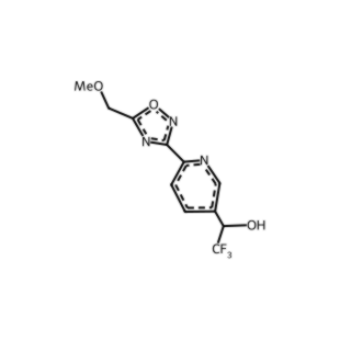 COCc1nc(-c2ccc(C(O)C(F)(F)F)cn2)no1